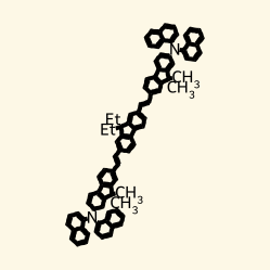 CCC1(CC)c2cc(/C=C/c3ccc4c(c3)C(C)(C)C3=C4C=CC(N(c4cccc5ccccc45)c4cccc5ccccc45)C3)ccc2-c2ccc(/C=C/c3ccc4c(c3)C(C)(C)c3cc(N(c5cccc6ccccc56)c5cccc6ccccc56)ccc3-4)cc21